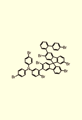 Brc1ccc(-c2ccccc2-c2cc3c(cc2Br)C2(c4cc(Br)ccc4-c4cc(-c5cc(N(c6ccc(Br)cc6)c6ccc(Br)cc6)ccc5Br)c(Br)cc42)c2cc(Br)ccc2-3)cc1